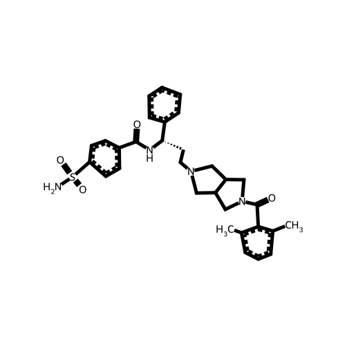 Cc1cccc(C)c1C(=O)N1CC2CN(CC[C@H](NC(=O)c3ccc(S(N)(=O)=O)cc3)c3ccccc3)CC2C1